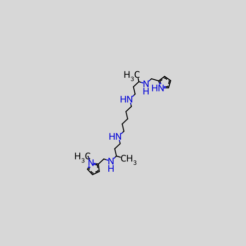 CC(CCNCCCCCNCCC(C)NCc1cccn1C)NCc1ccc[nH]1